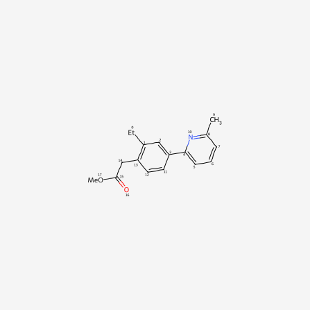 CCc1cc(-c2cccc(C)n2)ccc1CC(=O)OC